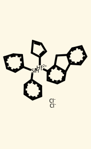 C1=CC[C]([Hf+2]([c]2cccc3c2Cc2ccccc2-3)[SiH](c2ccccc2)c2ccccc2)=C1.[Cl-].[Cl-]